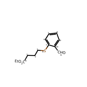 CCOC(=O)CCCSc1ccccc1C=O